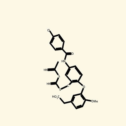 COc1ccc(CC(=O)O)cc1Oc1ccc(NC(=O)c2ccc(Cl)cc2)cc1CSC(=N)SC(C)=N